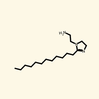 CCCCCCCCCCCCC1=NCCN1CCN